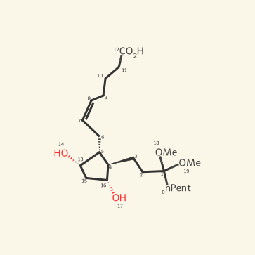 CCCCCC(CC[C@@H]1[C@@H](C/C=C\CCCC(=O)O)[C@@H](O)C[C@H]1O)(OC)OC